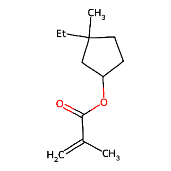 C=C(C)C(=O)OC1CCC(C)(CC)C1